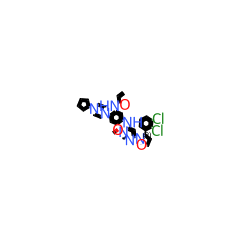 C=CC(=O)Nc1cc(Nc2cc(N3OCC[C@@H]3c3cccc(Cl)c3Cl)ncn2)c(OC)cc1N1CCN(C2CCCC2)CC1